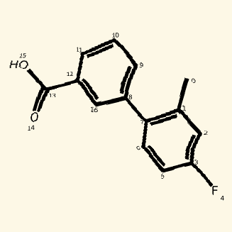 Cc1cc(F)ccc1-c1cccc(C(=O)O)c1